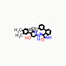 Cc1ccc(C2=C(O)CC(NN=C3C(=O)Nc4cccc(-c5cccc(C(=O)O)c5)c43)N=C2C(F)(F)F)cc1C